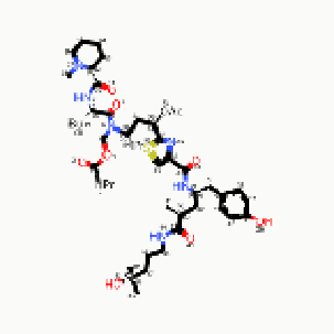 CCCC(=O)OCN(C(=O)[C@@H](NC(=O)[C@H]1CCCCN1C)[C@@H](C)CC)[C@H](C[C@@H](OC(C)=O)c1nc(C(=O)N[C@@H](Cc2ccc(O)cc2)C[C@H](C)C(=O)NCCC[Si](C)(C)O)cs1)C(C)C